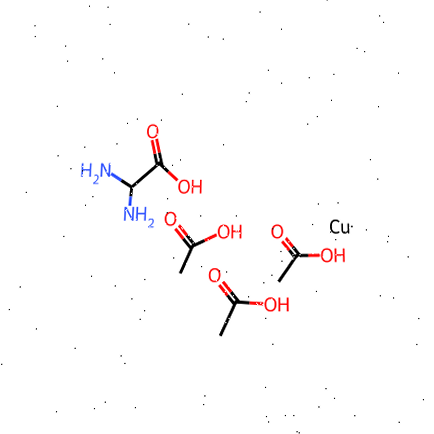 CC(=O)O.CC(=O)O.CC(=O)O.NC(N)C(=O)O.[Cu]